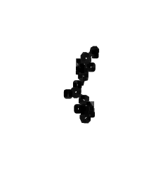 COc1cc(OCc2ccc3c(c2)sc2nc4ccc(-c5cccs5)cc4c(=O)n23)cc(-c2ccc3nc4sc5ccccc5n4c(=O)c3c2)c1